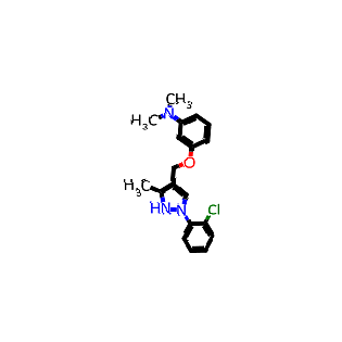 CC1NN(c2ccccc2Cl)C=C1COc1cccc(N(C)C)c1